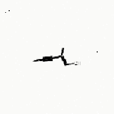 CC#C/C(C)=C/O